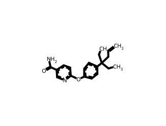 C=CCC(CC)(CC)c1ccc(Oc2ccc(C(N)=O)cn2)cc1